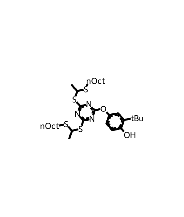 CCCCCCCCSC(C)Sc1nc(Oc2ccc(O)c(C(C)(C)C)c2)nc(SC(C)SCCCCCCCC)n1